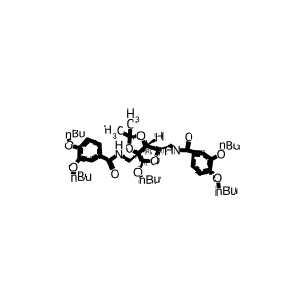 CCCCOc1ccc(C(=O)NC[C@H]2O[C@@H](OCCCC)[C@]3(CNC(=O)c4ccc(OCCCC)c(OCCCC)c4)OC(C)(C)O[C@H]23)cc1OCCCC